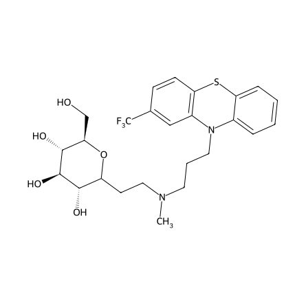 CN(CCCN1c2ccccc2Sc2ccc(C(F)(F)F)cc21)CCC1O[C@H](CO)[C@@H](O)[C@H](O)[C@H]1O